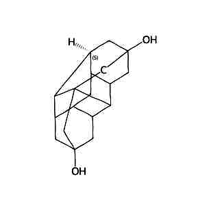 OC12CC3C4CC5C6CC7(O)C[C@@H]5C(C4C1)C(C2)(C7)C36